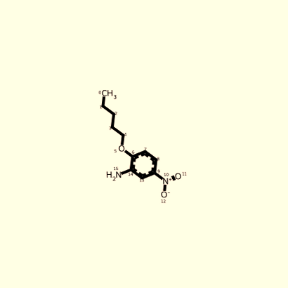 CCCCCOc1ccc([N+](=O)[O-])cc1N